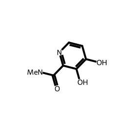 CNC(=O)c1nccc(O)c1O